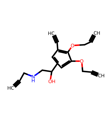 C#CCNCC(O)c1cc(C#C)c(OCC#C)c(OCC#C)c1